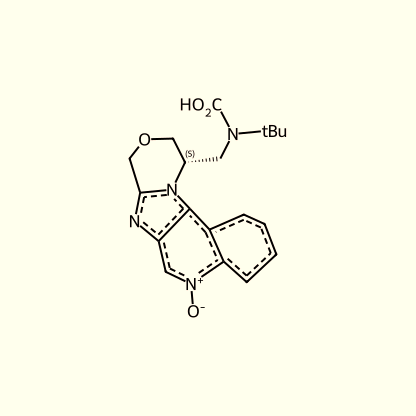 CC(C)(C)N(C[C@H]1COCc2nc3c[n+]([O-])c4ccccc4c3n21)C(=O)O